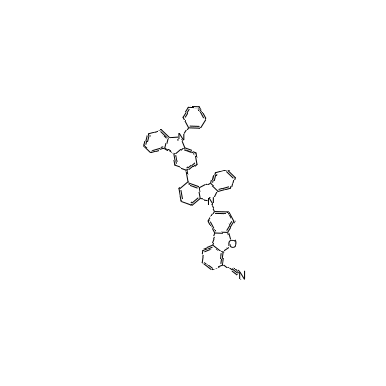 N#Cc1cccc2c1oc1ccc(-n3c4ccccc4c4c(-c5ccc6c(c5)c5ccccc5n6-c5ccccc5)cccc43)cc12